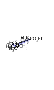 CCOC(=O)/C=C(C)/C=C/C=C(C)/C=C/c1c(C)cc(C)c(N(C)C)c1C